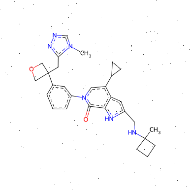 Cn1cnnc1CC1(c2cccc(-n3cc(C4CC4)c4cc(CNC5(C)CCC5)[nH]c4c3=O)c2)COC1